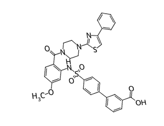 COc1ccc(C(=O)N2CCN(c3nc(-c4ccccc4)cs3)CC2)c(NS(=O)(=O)c2ccc(-c3cccc(C(=O)O)c3)cc2)c1